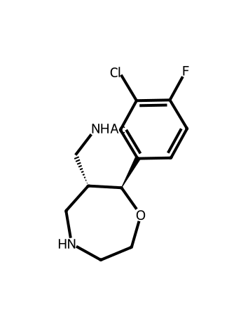 CC(=O)NC[C@H]1CNCCO[C@@H]1c1ccc(F)c(Cl)c1